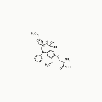 CCCC[C@]1(CC)CN(c2ccccc2)c2cc(SC)c(OC[C@H](N)C(=O)O)cc2S(O)(O)N1